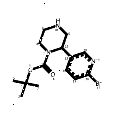 CC(C)(C)OC(=O)N1CCNCC1c1ccc(Br)nc1